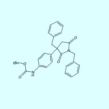 CC(C)(C)OC(=O)Nc1ccc(C2(Cc3ccccc3)CC(=O)N(Cc3ccccc3)C2=O)cc1